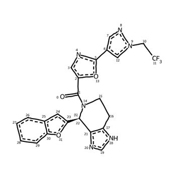 O=C(c1cnc(-c2cnn(CC(F)(F)F)c2)o1)N1CCc2[nH]cnc2[C@H]1c1cc2ccccc2o1